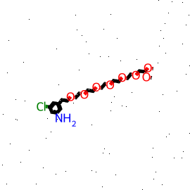 COC(COCCOCCOCCOCCOCCOCCc1cc(N)cc(Cl)c1)OC